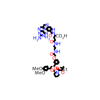 CCC(C)(C)C(=O)C(=O)N1CCCC[C@H]1C(=O)O[C@H](CCc1ccc(OC)c(OC)c1)c1cccc(OCC(=O)NCCCNC(=O)CC[C@H](NC(=O)c2ccc(N(C)Cc3cnc4nc(N)nc(N)c4n3)cc2)C(=O)O)c1